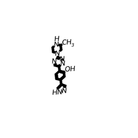 CC1CN(c2ncc(-c3ccc(-c4cn[nH]c4)cc3O)nn2)CCN1